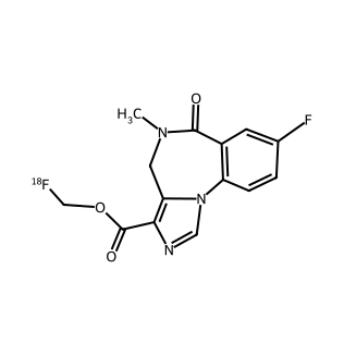 CN1Cc2c(C(=O)OC[18F])ncn2-c2ccc(F)cc2C1=O